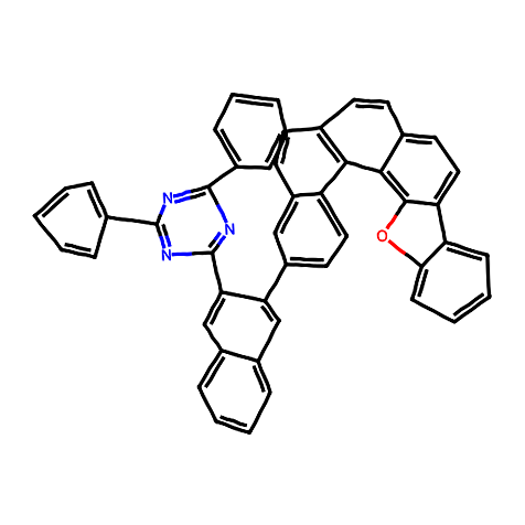 c1ccc(-c2nc(-c3ccccc3)nc(-c3cc4ccccc4cc3-c3ccc4c(ccc5ccc6ccc7c8ccccc8oc7c6c54)c3)n2)cc1